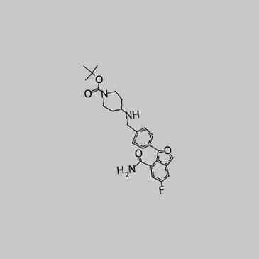 CC(C)(C)OC(=O)N1CCC(NCc2ccc(-c3occ4cc(F)cc(C(N)=O)c34)cc2)CC1